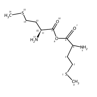 CSCCC(N)C(=O)OC(=O)[C@@H](N)CCSC